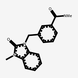 CNC(=O)c1cccc(Cn2c(=O)n(C)c3ccccc32)c1